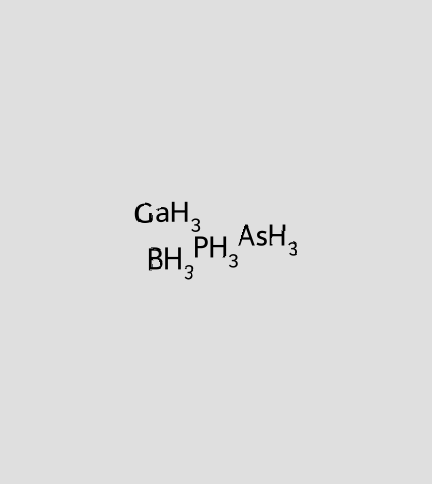 B.P.[AsH3].[GaH3]